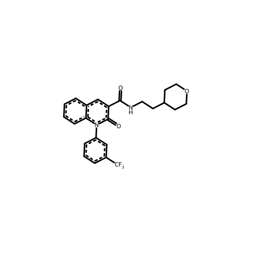 O=C(NCCC1CCOCC1)c1cc2ccccc2n(-c2cccc(C(F)(F)F)c2)c1=O